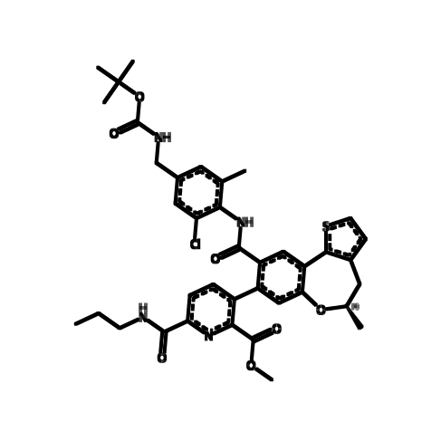 CCCNC(=O)c1ccc(-c2cc3c(cc2C(=O)Nc2c(C)cc(CNC(=O)OC(C)(C)C)cc2Cl)-c2sccc2C[C@@H](C)O3)c(C(=O)OC)n1